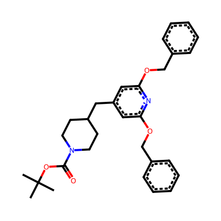 CC(C)(C)OC(=O)N1CCC(Cc2cc(OCc3ccccc3)nc(OCc3ccccc3)c2)CC1